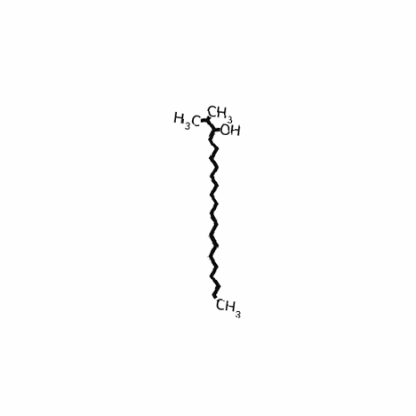 CCCCCCCCCCCCCCCCCC[C](O)C(C)C